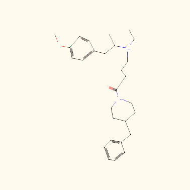 CCN(CCCC(=O)N1CCC(Cc2ccccc2)CC1)C(C)Cc1ccc(OC)cc1